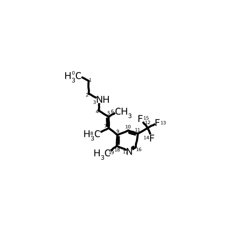 CCCNC/C(C)=C(\C)c1cc(C(F)(F)F)cnc1C